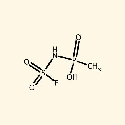 CP(=O)(O)NS(=O)(=O)F